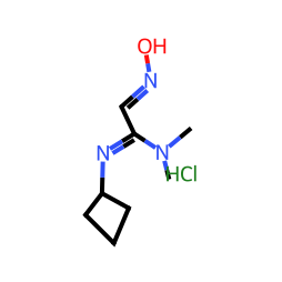 CN(C)C(C=NO)=NC1CCC1.Cl